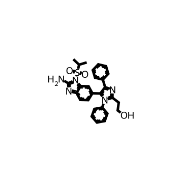 CC(C)S(=O)(=O)n1c(N)nc2ccc(-c3c(-c4ccccc4)nc(CCO)n3-c3ccccc3)cc21